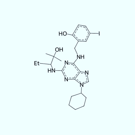 CCC(Nc1nc(NCc2cc(I)ccc2O)c2ncn(C3CCCCC3)c2n1)C(C)(C)O